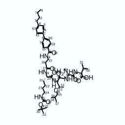 CCCCc1ccc(-c2ccc(C(=O)NCCC(=O)N[C@@H](CCCCNC(=O)OC(C)(C)C)C(=O)N[C@H](C(=O)N[C@@H](N)C(=O)N[C@H](C(=O)O)C(C)C)[C@@H](C)OCC(C)C)cc2)cc1